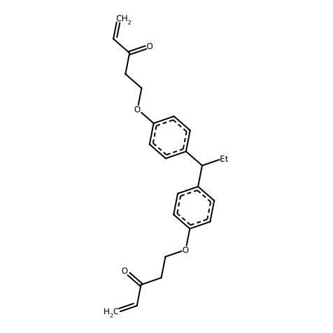 C=CC(=O)CCOc1ccc(C(CC)c2ccc(OCCC(=O)C=C)cc2)cc1